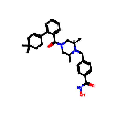 CC1CN(C(=O)c2ccccc2C2=CCC(C)(C)CC2)C[C@@H](C)N1Cc1ccc(C(=O)NO)cc1